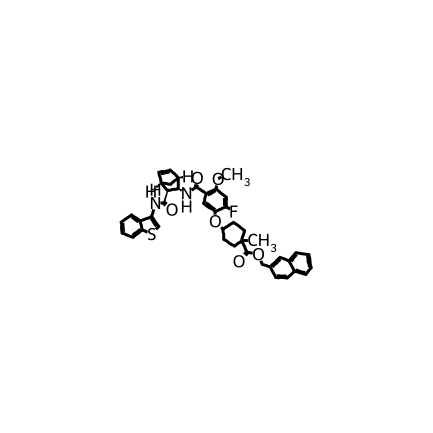 COc1cc(F)c(OC2CCC(C)(C(=O)OCc3ccc4ccccc4c3)CC2)cc1C(=O)N[C@H]1[C@@H](C(=O)Nc2csc3ccccc23)[C@@H]2C=C[C@H]1C2